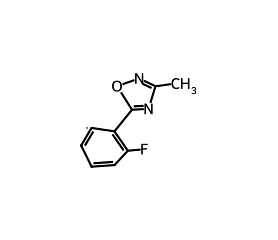 Cc1noc(-c2[c]cccc2F)n1